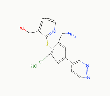 Cl.NCc1cc(-c2ccnnc2)cc(Cl)c1Sc1ncccc1CO